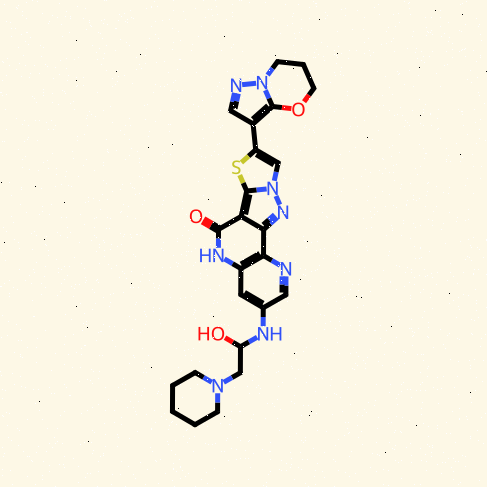 O=c1[nH]c2cc(NC(O)CN3CCCCC3)cnc2c2nn3cc(-c4cnn5c4OCCC5)sc3c12